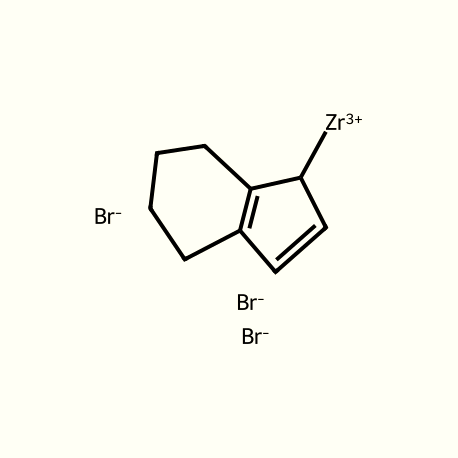 [Br-].[Br-].[Br-].[Zr+3][CH]1C=CC2=C1CCCC2